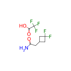 NC(=O)CC1CC(F)(F)C1.O=C(O)C(F)(F)F